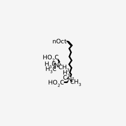 CCCCCCCC/C=C\CCCCCCCC[N+](C)(C)CC(=O)O.C[N+](C)(C)CC(=O)O